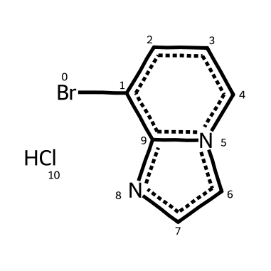 Brc1cccn2ccnc12.Cl